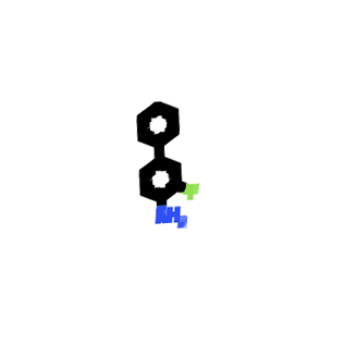 Nc1ccc(-c2ccccc2)cc1F